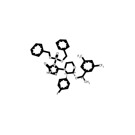 C[C@@H](O[C@H]1OCCN(c2n[nH]c(=O)n2P(=O)(OCc2ccccc2)OCc2ccccc2)[C@H]1c1ccc(F)cc1)c1cc(C(F)(F)F)cc(C(F)(F)F)c1